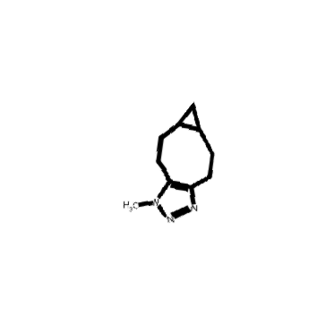 Cn1nnc2c1CCC1CC1CC2